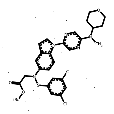 CN(c1cnc(-n2ccc3cc(N(CC(=O)OC(C)(C)C)Sc4cc(Cl)cc(Cl)c4)ccc32)cn1)C1CCOCC1